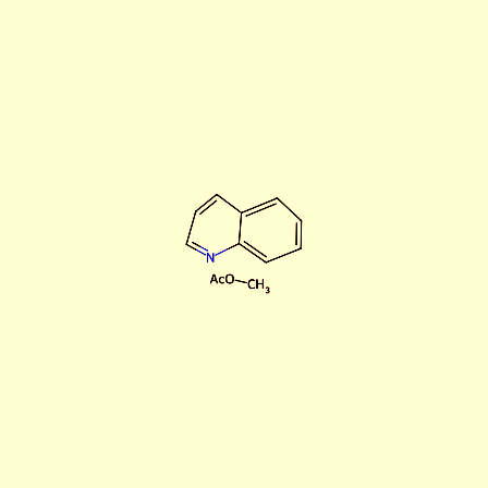 COC(C)=O.c1ccc2ncccc2c1